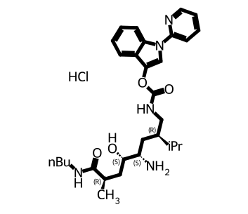 CCCCNC(=O)[C@H](C)C[C@H](O)[C@@H](N)C[C@@H](CNC(=O)Oc1cn(-c2ccccn2)c2ccccc12)C(C)C.Cl